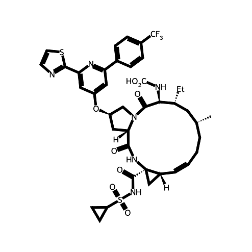 CC[C@@H]1C[C@H](C)CC/C=C\[C@@H]2C[C@@]2(C(=O)NS(=O)(=O)C2CC2)NC(=O)[C@@H]2C[C@@H](Oc3cc(-c4ccc(C(F)(F)F)cc4)nc(-c4nccs4)c3)CN2C(=O)[C@H]1NC(=O)O